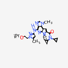 CCn1c(C(=O)N(C2CC2)C2CC2)cc2c3c(ncn3C)c(Nc3cc(C)n(CCOC(C)C)n3)nc21